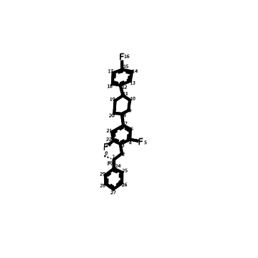 C[C@H](Cc1c(F)cc(C2CCC(c3ccc(F)cc3)CC2)cc1F)c1ccccc1